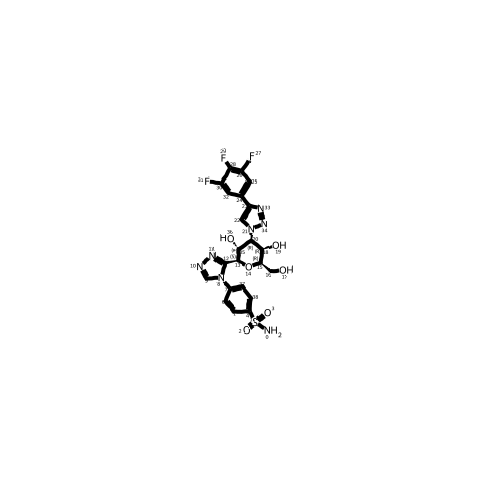 NS(=O)(=O)c1ccc(-n2cnnc2[C@@H]2O[C@H](CO)[C@H](O)[C@H](n3cc(-c4cc(F)c(F)c(F)c4)nn3)[C@H]2O)cc1